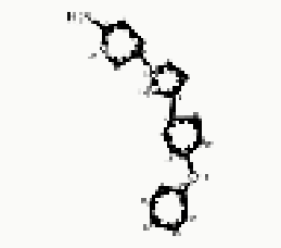 Nc1ccc(-n2ccc(-c3ccc(Oc4ccccc4)cc3)n2)cn1